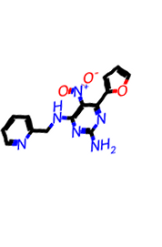 Nc1nc(NCc2ccccn2)c([N+](=O)[O-])c(-c2ccco2)n1